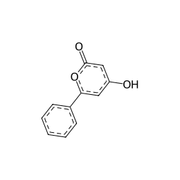 O=c1cc(O)cc(-c2ccccc2)o1